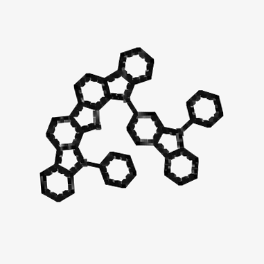 c1ccc(-n2c3ccccc3c3ccc(-n4c5ccccc5c5ccc6c7ccc8c9ccccc9n(-c9ccccc9)c8c7sc6c54)cc32)cc1